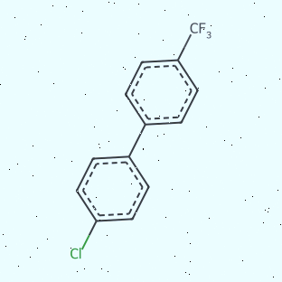 FC(F)(F)c1ccc(-c2ccc(Cl)cc2)cc1